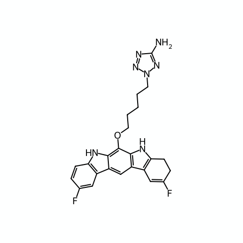 Nc1nnn(CCCCCOc2c3[nH]c4c(c3cc3c2[nH]c2ccc(F)cc23)C=C(F)CC4)n1